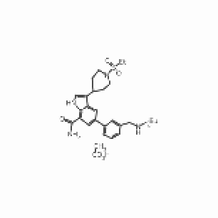 CC(=O)O.CC[C@H](C)NCc1cccc(-c2cc(C(N)=O)c3[nH]cc(C4CCN(S(=O)(=O)CC)CC4)c3c2)c1